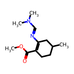 COC(=O)C1=C(N=CN(C)C)CC(C)CC1